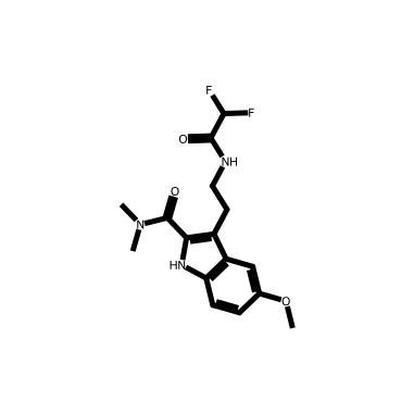 COc1ccc2[nH]c(C(=O)N(C)C)c(CCNC(=O)C(F)F)c2c1